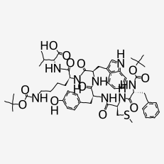 CSC[C@H](NC(=O)[C@@H](Cc1ccccc1)NC(=O)OC(C)(C)C)C(=O)N[C@@H](Cc1ccc(O)cc1)C(=O)N[C@H](Cc1c[nH]c2ccccc12)C(=O)N[C@@H](CCCCNC(=O)OC(C)(C)C)C(=O)N[C@@H](C(=O)O)C(C)C